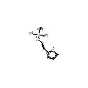 CC(C)[Si](OC=Cc1ccco1)(C(C)C)C(C)C